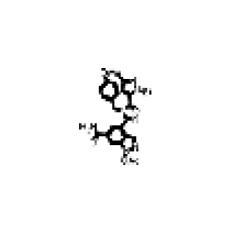 CCn1nc(C)cc1-c1nnc(-c2cc(C(N)=O)cc3c2cnn3OC(C)=O)n1Cc1ccc(OC)cc1